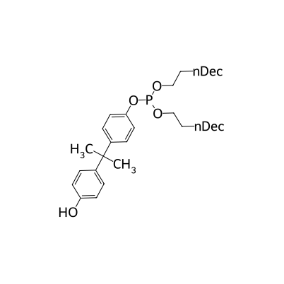 CCCCCCCCCCCCOP(OCCCCCCCCCCCC)Oc1ccc(C(C)(C)c2ccc(O)cc2)cc1